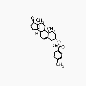 Cc1ccc(S(=O)(=O)O[C@H]2CC[C@@]3(C)C(=CC[C@@H]4C3CC[C@]3(C)C(=O)CC[C@@H]43)C2)cc1